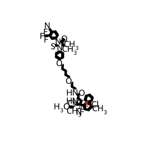 Cc1ccc([C@@]2(C#N)[C@H](CC(C)(C)C)NC(C(=O)NCCCOCCCCCOc3ccc(N4C(=S)N(c5ccc(C#N)c(C(F)(F)F)c5)C(=O)C4(C)C)cc3)[C@@H]2c2cccc(Cl)c2F)c(F)c1